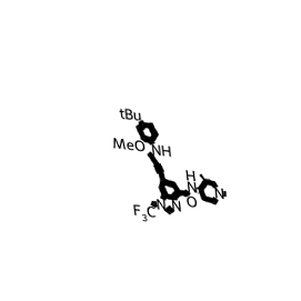 COc1cc(C(C)(C)C)ccc1NCC#Cc1cc(C(=O)N[C@H]2CCN(C)C[C@@H]2C)c2ncn(CC(F)(F)F)c2c1